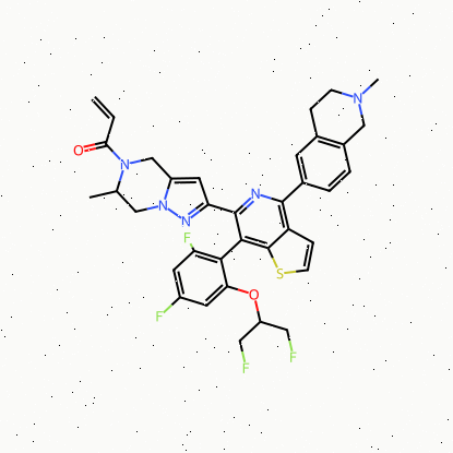 C=CC(=O)N1Cc2cc(-c3nc(-c4ccc5c(c4)CCN(C)C5)c4ccsc4c3-c3c(F)cc(F)cc3OC(CF)CF)nn2CC1C